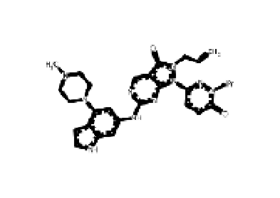 C=CCn1c(=O)c2cnc(Nc3cc(N4CCN(C)CC4)c4cc[nH]c4c3)nc2n1-c1ccc(=O)n(C(C)C)n1